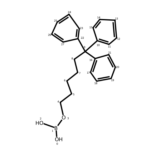 OB(O)OCCCCCC(c1ccccc1)(c1ccccc1)c1ccccc1